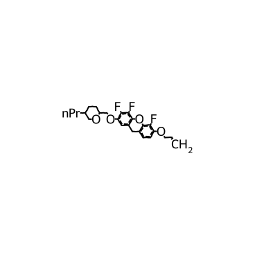 C=CCOc1ccc2c(c1F)Oc1c(cc(OCC3CCC(CCC)CO3)c(F)c1F)C2